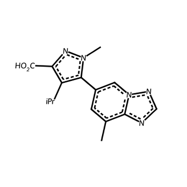 Cc1cc(-c2c(C(C)C)c(C(=O)O)nn2C)cn2ncnc12